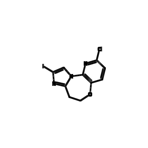 Clc1ccc2c(n1)-n1cc(I)nc1CCO2